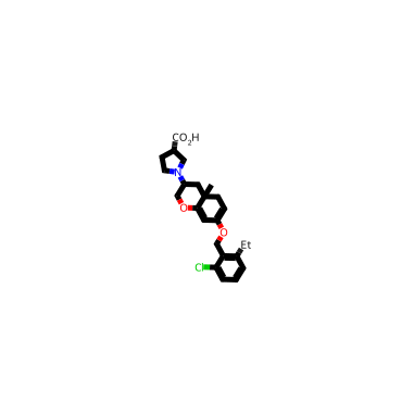 CCc1cccc(Cl)c1COC1=CCC2(C)CC(N3CCC(C(=O)O)C3)COC2=C1